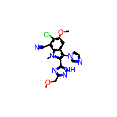 COCc1n[nH]c(-c2c(-n3ccnc3)c3cc(OC)c(Cl)c(C#N)c3n2C)n1